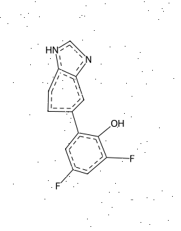 Oc1c(F)cc(F)cc1-c1ccc2[nH]cnc2c1